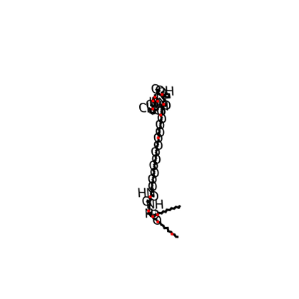 CCCCCCCCCCCCOCC(C[N+](C)(C)CCCNC(=O)CCC(=O)NCCOCCOCCOCCOCCOCCOCCOCCOCCOCCOCCOCCOCCC(=O)NCCC1(C(=O)N[C@@H](Cc2ccc(NC(=O)c3c(Cl)cccc3Cl)cc2)C(=O)O)CCCC1)OCCCCCCCCCCCC